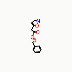 O=C(Cc1ccno1)OOCc1ccccc1